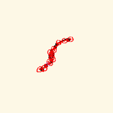 CCC1(COc2ccc(/C=C/C(=O)Oc3ccc(C(=O)Oc4ccc5ccccc5c4-c4c(OC(=O)c5ccc(OC(=O)c6ccc(-c7ccc(OCCCCOCC8CCC9OC9C8)cc7)cc6)cc5)ccc5ccccc45)cc3)cc2)COC1